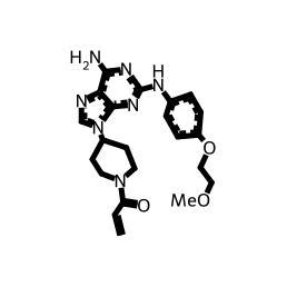 C=CC(=O)N1CCC(n2cnc3c(N)nc(Nc4ccc(OCCOC)cc4)nc32)CC1